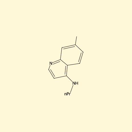 CCCNc1ccnc2cc(C)ccc12